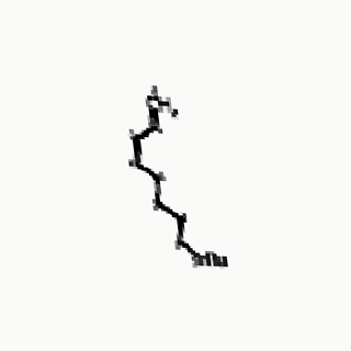 [CH2]CCCCCCC/C=C\C=C